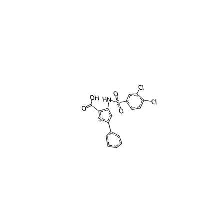 O=C(O)c1sc(-c2ccccc2)cc1NS(=O)(=O)c1ccc(Cl)c(Cl)c1